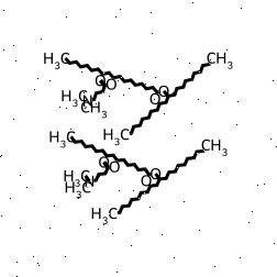 CCCCCCCCCCC(CCCCCCCCCC)OC(=O)CCCCCC(CCCCCCCCC)OC(=O)CCCN(C)C.CCCCCCCCCCC(CCCCCCCCCC)OC(=O)CCCCCCCC(CCCCCCCCC)OC(=O)CCCN(C)C